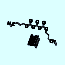 CCCCOC(=O)OC(=O)OC(=O)OCCCC.[BaH2].[BaH2].[BaH2].[BaH2]